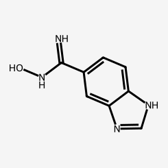 N=C(NO)c1ccc2[nH]cnc2c1